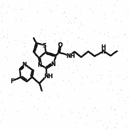 CCNCCCCNC(=O)c1nc(NC(C)c2cncc(F)c2)nc2cc(C)sc12